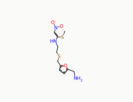 CS/C(=C\[N+](=O)[O-])NCCSCc1ccc(CN)o1